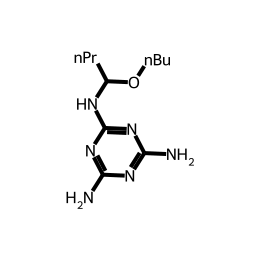 CCCCOC(CCC)Nc1nc(N)nc(N)n1